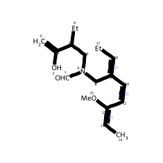 C=C(O)C(CC)CN(C=O)CC(/C=C\C(=C/C)OC)=C\CC